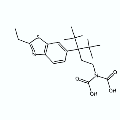 CCc1nc2ccc(C(CCN(C(=O)O)C(=O)O)(C(C)(C)C)C(C)(C)C)cc2s1